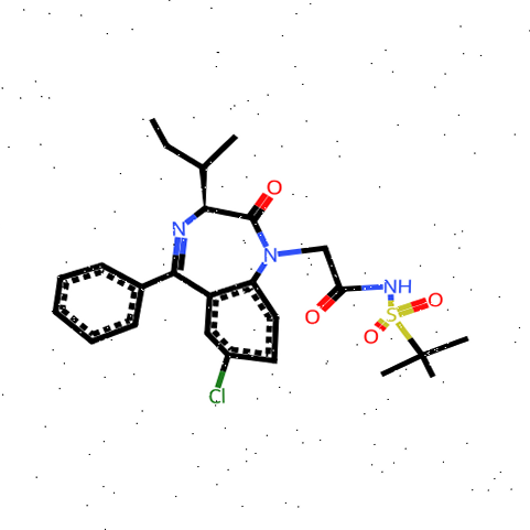 CCC(C)[C@@H]1N=C(c2ccccc2)c2cc(Cl)ccc2N(CC(=O)NS(=O)(=O)C(C)(C)C)C1=O